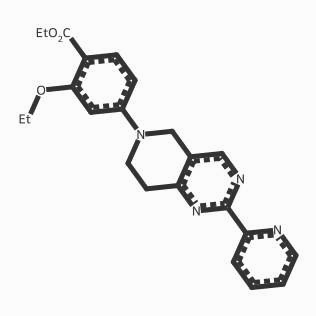 CCOC(=O)c1ccc(N2CCc3nc(-c4ccccn4)ncc3C2)cc1OCC